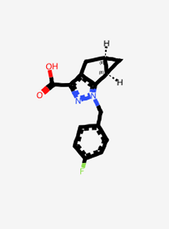 O=C(O)c1nn(Cc2ccc(F)cc2)c2c1C[C@H]1C[C@@H]21